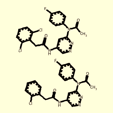 CC(=O)N(c1ccc(F)cc1)c1cc(NC(=O)Cc2c(Cl)cccc2Cl)cnn1.CC(=O)N(c1ccc(F)cc1)c1cc(NC(=O)Cc2ccccc2Cl)cnn1